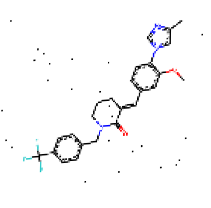 COc1cc(/C=C2\CCCN(Cc3ccc(C(F)(F)F)cc3)C2=O)ccc1-n1cnc(C)c1